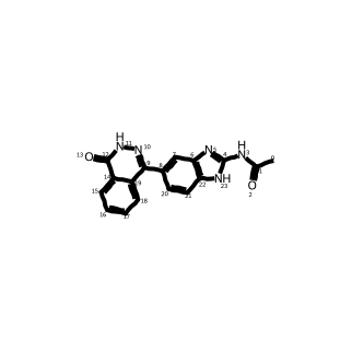 CC(=O)Nc1nc2cc(-c3n[nH]c(=O)c4ccccc34)ccc2[nH]1